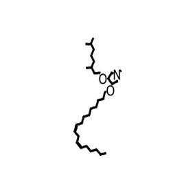 CCCCC/C=C\C/C=C\CCCCCCCCOC1CN(C)C[C@H]1OCCC(C)CCCC(C)C